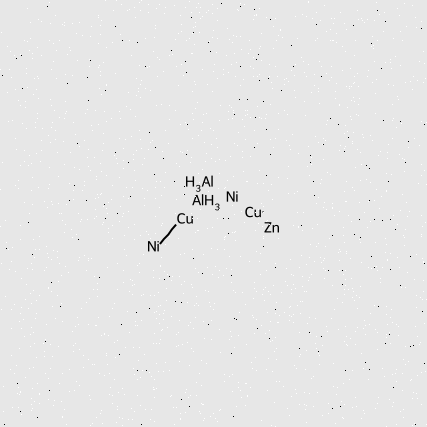 [AlH3].[AlH3].[Cu].[Ni].[Ni][Cu].[Zn]